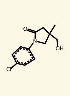 CC1(CO)CC(=O)N(c2ccc(Cl)cc2)C1